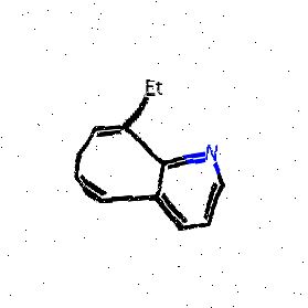 [CH2]Cc1cccc2cccnc12